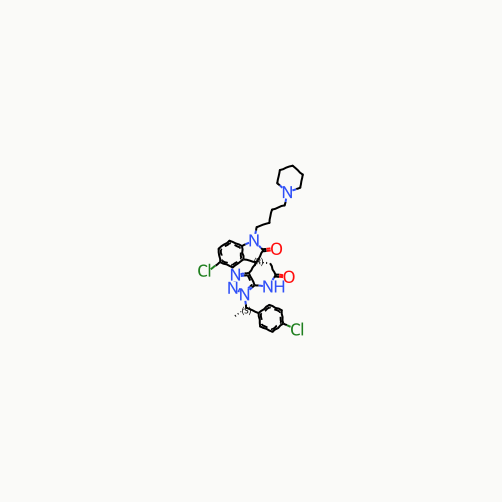 C[C@@H](c1ccc(Cl)cc1)n1nnc2c1NC(=O)C[C@]21C(=O)N(CCCCN2CCCCC2)c2ccc(Cl)cc21